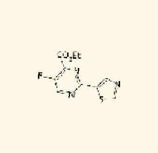 CCOC(=O)c1nc(-c2cncs2)ncc1F